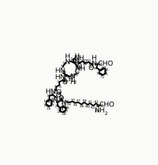 CC1(NC(=O)CCCC(=O)NC(Cc2ccccc2)C(=O)NC(Cc2ccccc2)C(=O)NCCCCCCCCCCCC(N)C=O)CNCCNCC(CN)(NC(=O)CCCC(=O)NC(C=O)Cc2ccccc2)CNCCNC1